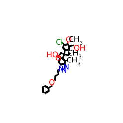 CCC(CC(=O)O)(c1cc(Cl)c(OC)c(CO)c1)c1ccc2c(nnn2CCCCOCc2ccccc2)c1C